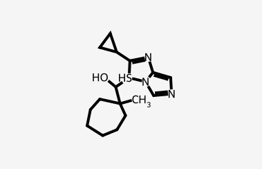 CC1(C(O)[SH]2C(C3CC3)=Nc3cncn32)CCCCCC1